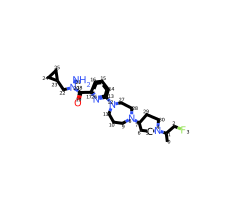 CC(CF)N1CCC(N2CCCN(c3cccc(C(=O)N(N)CC4CC4)n3)CC2)CC1